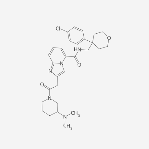 CN(C)C1CCCN(C(=O)Cc2cn3c(C(=O)NCC4(c5ccc(Cl)cc5)CCOCC4)cccc3n2)C1